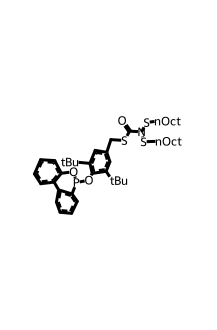 CCCCCCCCSN(SCCCCCCCC)C(=O)SCc1cc(C(C)(C)C)c(OP2Oc3ccccc3-c3ccccc32)c(C(C)(C)C)c1